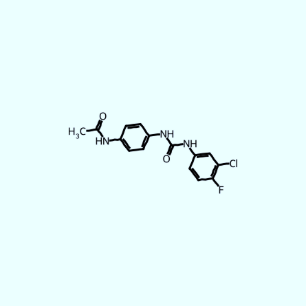 CC(=O)Nc1ccc(NC(=O)Nc2ccc(F)c(Cl)c2)cc1